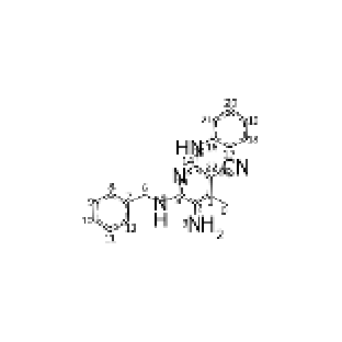 Cc1c(N)c(NCc2ccccc2)nc(Nc2ccccc2)c1C#N